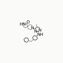 Cc1cnc(Nc2ccc(Cc3ccccc3)cc2)nc1N1CCC2(CCNC2=O)CC1